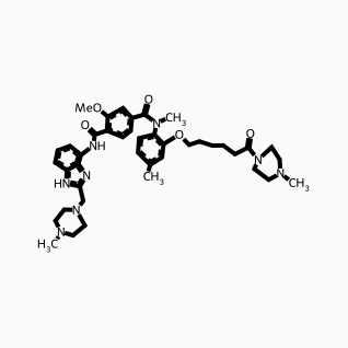 COc1cc(C(=O)N(C)c2ccc(C)cc2OCCCCCC(=O)N2CCN(C)CC2)ccc1C(=O)Nc1cccc2[nH]c(CN3CCN(C)CC3)nc12